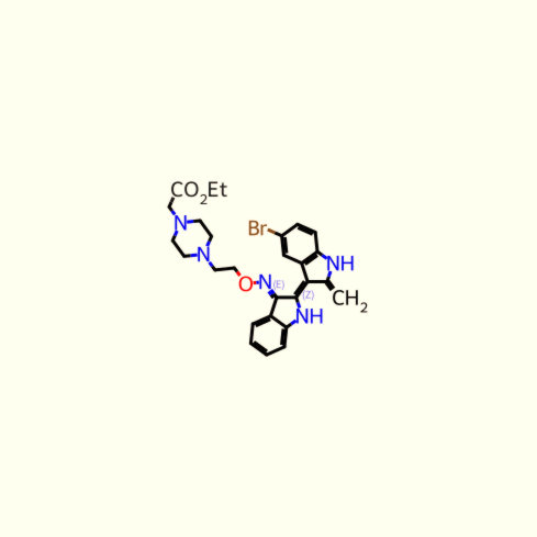 C=c1[nH]c2ccc(Br)cc2/c1=C1/Nc2ccccc2/C1=N\OCCN1CCN(CC(=O)OCC)CC1